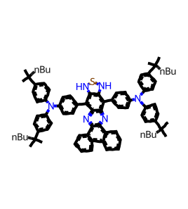 CCCCC(C)(C)c1ccc(N(c2ccc(-c3c4c(c(-c5ccc(N(c6ccc(C(C)(C)CCCC)cc6)c6ccc(C(C)(C)CCCC)cc6)cc5)c5nc6c7ccccc7c7ccccc7c6nc35)NSN4)cc2)c2ccc(C(C)(C)CCCC)cc2)cc1